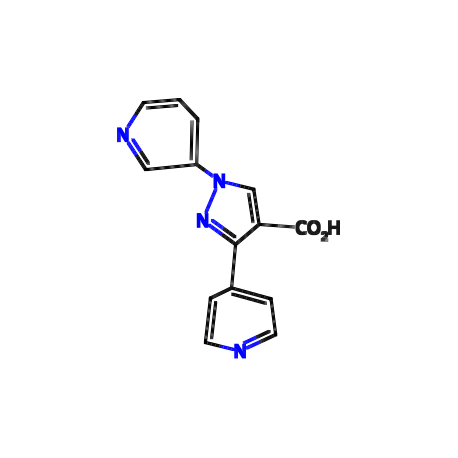 O=C(O)c1cn(-c2cccnc2)nc1-c1ccncc1